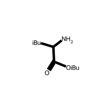 CCC(C)C(N)C(=O)OCC(C)C